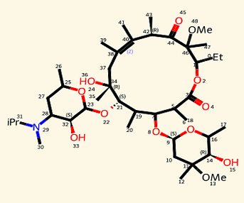 CCC1OC(=O)C(C)C(O[C@@H]2CC(C)(OC)[C@H](O)C(C)O2)C(C)[C@H](OC2OC(C)CC(N(C)C(C)C)[C@@H]2O)[C@](C)(O)C/C(C)=C(/C)[C@@H](C)C(=O)C1(C)OC